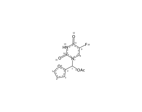 CC(=O)OC(c1ccco1)n1cc(F)c(=O)[nH]c1=O